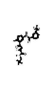 Cc1ccc(NC(=O)c2cccc(C(F)(F)F)c2)cc1-c1cc(C(=O)NCC(C)(C)C)on1